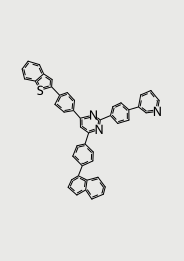 c1cncc(-c2ccc(-c3nc(-c4ccc(-c5cc6ccccc6s5)cc4)cc(-c4ccc(-c5cccc6ccccc56)cc4)n3)cc2)c1